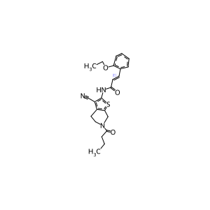 CCCC(=O)N1CCc2c(sc(NC(=O)/C=C/c3ccccc3OCC)c2C#N)C1